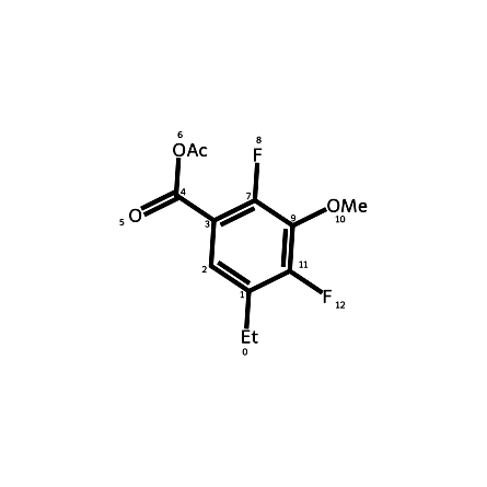 CCc1cc(C(=O)OC(C)=O)c(F)c(OC)c1F